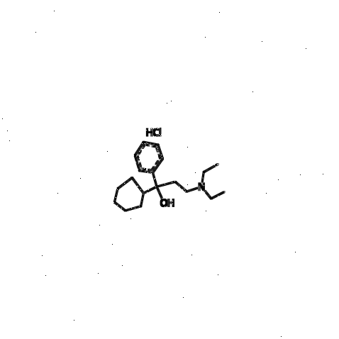 CCN(CC)CCC(O)(c1ccccc1)C1CCCCC1.Cl